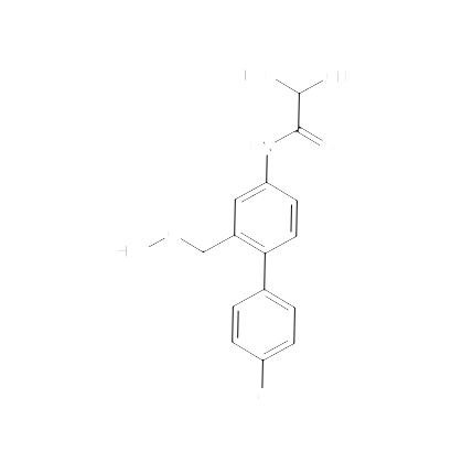 COCc1cc(NC(=O)C(C)C)ccc1-c1ccc(Cl)cc1